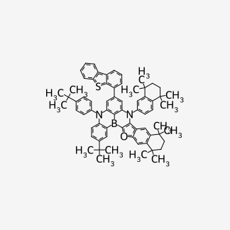 CC(C)(C)c1ccc(N2c3ccc(C(C)(C)C)cc3B3c4oc5cc6c(cc5c4N(c4ccc5c(c4)C(C)(C)CCC5(C)C)c4cc(-c5cccc7c5sc5ccccc57)cc2c43)C(C)(C)CCC6(C)C)cc1